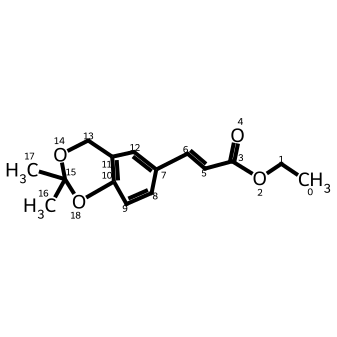 CCOC(=O)/C=C/c1ccc2c(c1)COC(C)(C)O2